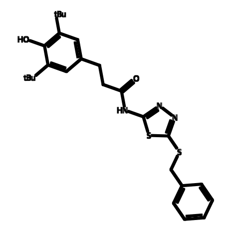 CC(C)(C)c1cc(CCC(=O)Nc2nnc(SCc3ccccc3)s2)cc(C(C)(C)C)c1O